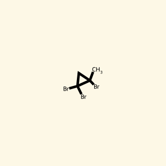 CC1(Br)CC1(Br)Br